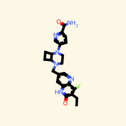 CCc1c(F)c2ncc(CN3CCN(c4ccc(C(N)=O)nc4)C4CCC43)cc2[nH]c1=O